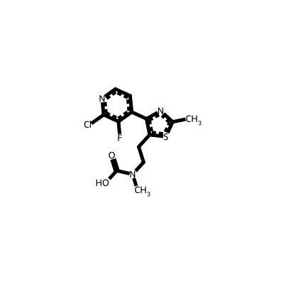 Cc1nc(-c2ccnc(Cl)c2F)c(CCN(C)C(=O)O)s1